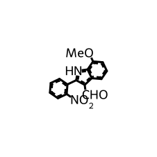 COc1cccc2c(C=O)c(-c3ccccc3[N+](=O)[O-])[nH]c12